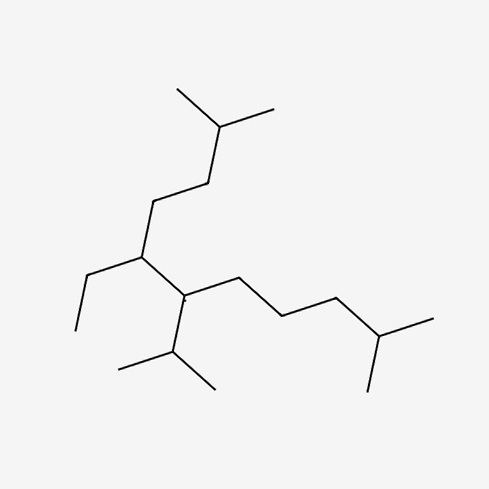 CCC(CCC(C)C)[C](CCCC(C)C)C(C)C